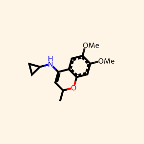 COc1cc2c(cc1OC)C(NC1CC1)=CC(C)O2